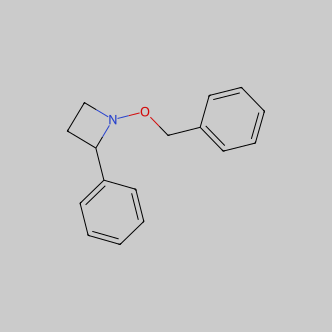 c1ccc(CON2CCC2c2ccccc2)cc1